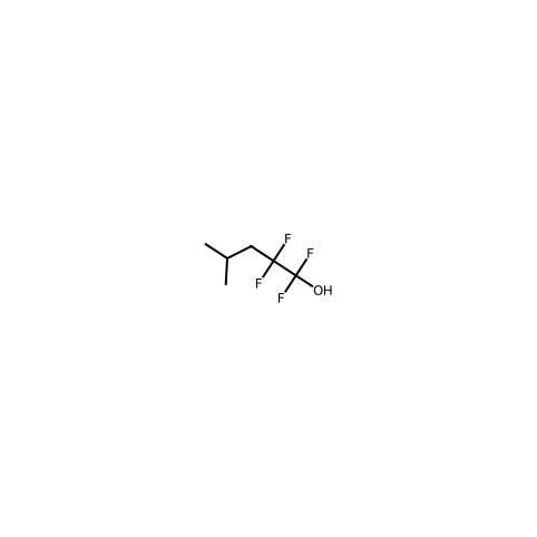 CC(C)CC(F)(F)C(O)(F)F